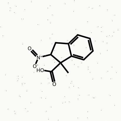 CC1(C(=O)O)c2ccccc2CC1[N+](=O)[O-]